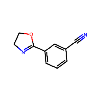 N#Cc1cccc(C2=NCCO2)c1